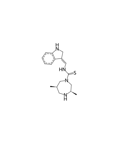 C[C@@H]1CN[C@H](C)CN(C(=S)N/C=C2/CNc3ccccc32)C1